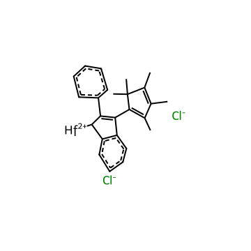 CC1=C(C)C(C)(C)C(C2=C(c3ccccc3)[CH]([Hf+2])c3ccccc32)=C1C.[Cl-].[Cl-]